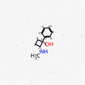 CN[C@@H]1CC[C@]1(O)c1ccccc1